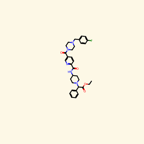 CCOC(=O)C(c1ccccc1)N1CCC(NC(=O)c2ccc(C(=O)N3CCN(Cc4ccc(F)cc4)CC3)cn2)CC1